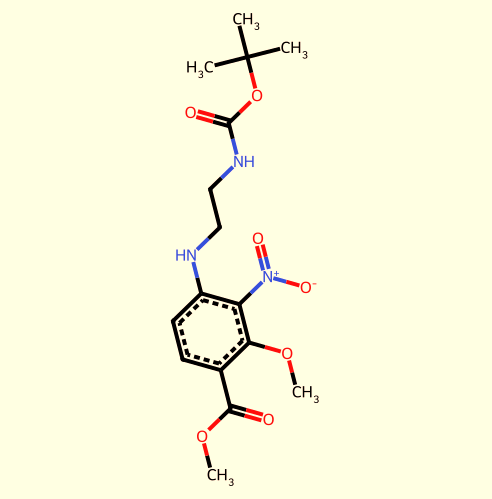 COC(=O)c1ccc(NCCNC(=O)OC(C)(C)C)c([N+](=O)[O-])c1OC